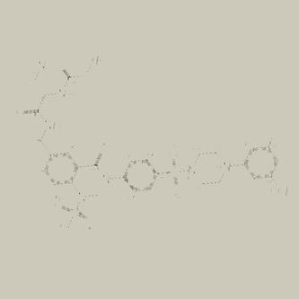 CN(c1ccc(CNC(=O)[C@H](CN)NC(=O)OC(C)(C)C)cc1C(=O)Nc1ccc(S(=O)(=O)N2CCN(c3cc(Cl)cc(Cl)c3)CC2)cc1)S(C)(=O)=O